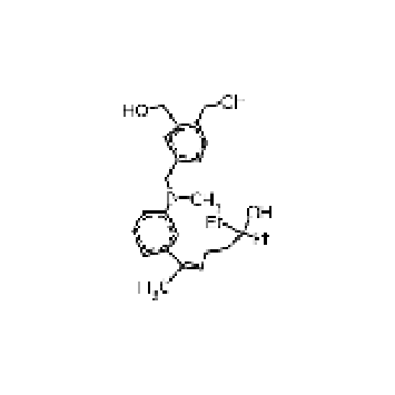 CCC(O)(CC)CC/C=C(/C)c1cccc(N(C)Cc2ccc(CO)c(CO)c2)c1